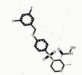 C[C@@H]1SCCN(S(=O)(=O)c2ccc(OCc3cc(F)cc(F)c3)cc2)[C@@H]1C(=O)NO